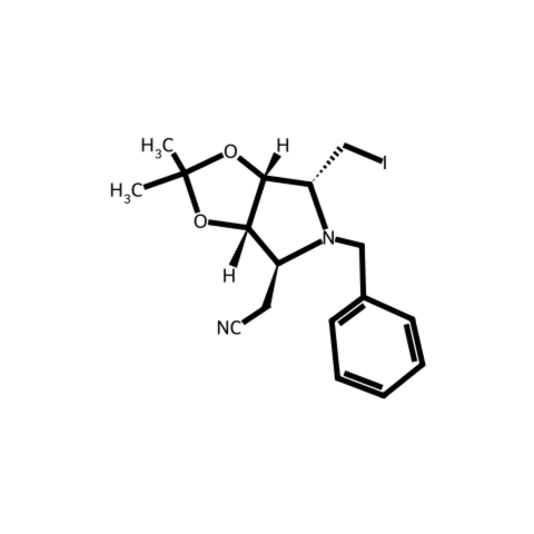 CC1(C)O[C@@H]2[C@H](O1)[C@H](CI)N(Cc1ccccc1)[C@H]2CC#N